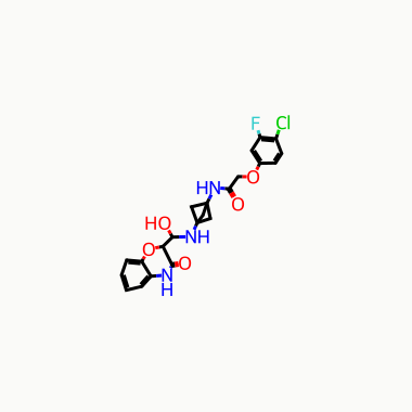 O=C(COc1ccc(Cl)c(F)c1)NC12CC(NC(O)C3Oc4ccccc4NC3=O)(C1)C2